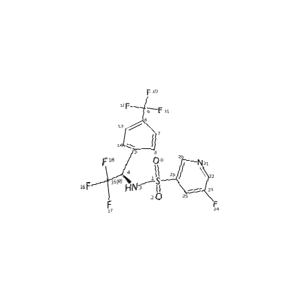 O=S(=O)(N[C@H](c1ccc(C(F)(F)F)cc1)C(F)(F)F)c1cncc(F)c1